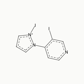 Ic1cnccc1-n1ccc[n+]1I